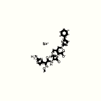 CON=C(C(=O)N[C@@H]1C(=O)N2C(C(=O)[O-])=C(CSc3nc(-c4ccccc4)cs3)CS[C@@H]12)c1csc(N)n1.[Na+]